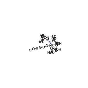 COCCOCCOCCOCCOCCOCC[N+]1=C(/C=C/C(C)=C/C=C2/N(CCCC(=O)ON3C(=O)CCC3=O)c3ccc4c(S(=O)(=O)O)cc(S(=O)(=O)O)cc4c3C2(C)C)C(C)(CCCS(=O)(=O)O)c2c1ccc1c(S(=O)(=O)O)cc(S(=O)(=O)O)cc21